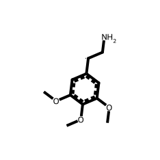 COc1cc([CH]CN)cc(OC)c1OC